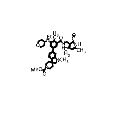 CCN(c1cc(-c2ccc3c(c2)N(C)CC32CCN(C(=O)OC)CC2)cc(C(=O)NCC2=C(C)C=C(C)NC2=C=O)c1C)C1CCOCC1